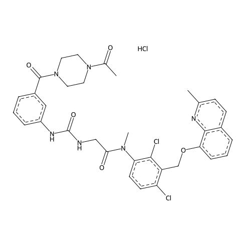 CC(=O)N1CCN(C(=O)c2cccc(NC(=O)NCC(=O)N(C)c3ccc(Cl)c(COc4cccc5ccc(C)nc45)c3Cl)c2)CC1.Cl